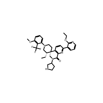 CCOc1ncccc1-c1ccc2c(n1)C(=O)N(C1CCNC1)C[C@]21CCN(c2cccc(OC)c2C(F)(F)F)C[C@H]1CC